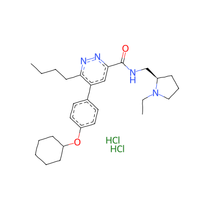 CCCCc1nnc(C(=O)NC[C@H]2CCCN2CC)cc1-c1ccc(OC2CCCCC2)cc1.Cl.Cl